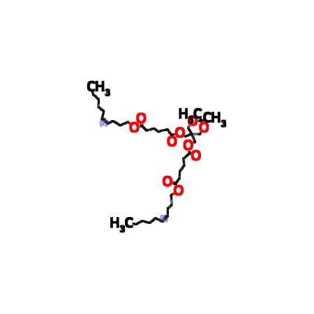 CCCCC/C=C\CCCOC(=O)CCCCC(=O)OCC1(COC(=O)CCCCC(=O)OCCC/C=C\CCCCC)COC(C)(C)OC1